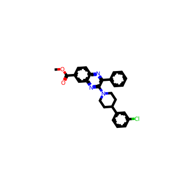 COC(=O)c1ccc2nc(-c3ccccc3)c(N3CCC(c4cccc(Cl)c4)CC3)nc2c1